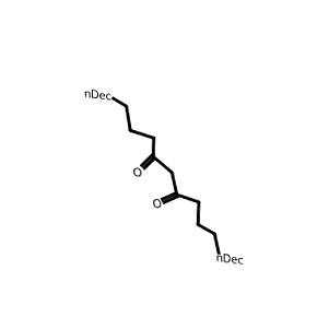 CCCCCCCCCCCCCC(=O)CC(=O)CCCCCCCCCCCCC